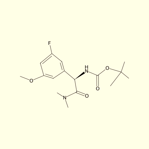 COc1cc(F)cc([C@@H](NC(=O)OC(C)(C)C)C(=O)N(C)C)c1